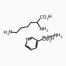 NCCCCC(N)C(=O)O.NN.O=C(O)c1cccnc1